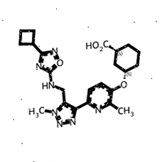 Cc1nc(-c2nnn(C)c2CNc2nc(C3CCC3)no2)ccc1O[C@H]1CCC[C@H](C(=O)O)C1